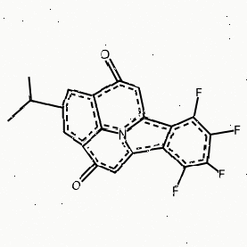 CC(C)c1cc2c(=O)cc3c4c(F)c(F)c(F)c(F)c4c4cc(=O)c(c1)c2n34